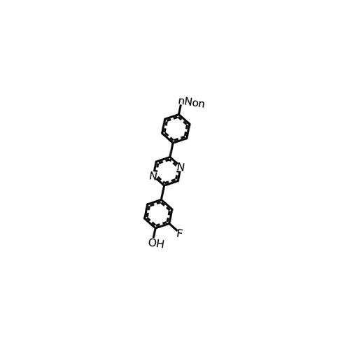 CCCCCCCCCc1ccc(-c2cnc(-c3ccc(O)c(F)c3)cn2)cc1